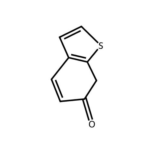 O=C1C=Cc2ccsc2C1